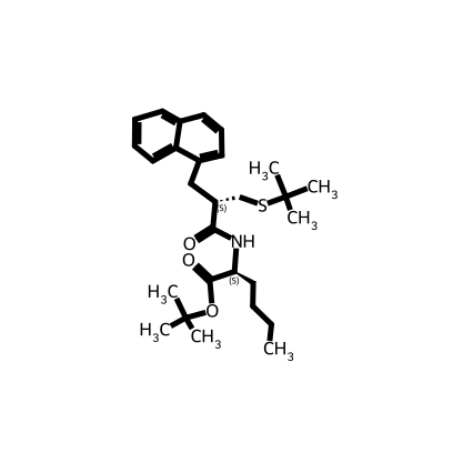 CCCC[C@H](NC(=O)[C@@H](CSC(C)(C)C)Cc1cccc2ccccc12)C(=O)OC(C)(C)C